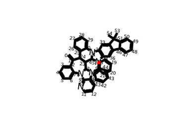 C=C1c2ccccc2N2c3ncccc3N(c3ccccc3)C2C2C1c1ccccc1N1c3cc4c(cc3N(c3ccccc3)C21)-c1ccccc1C4(C)C